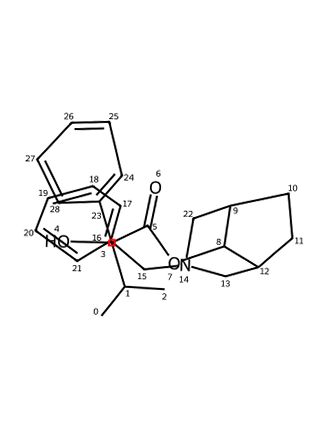 CC(C)C(O)(C(=O)OC1C2CCC1CN(Cc1ccccc1)C2)c1ccccc1